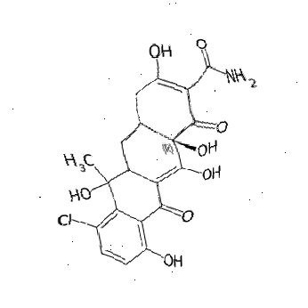 CC1(O)c2c(Cl)ccc(O)c2C(=O)C2=C(O)[C@@]3(O)C(=O)C(C(N)=O)=C(O)CC3CC21